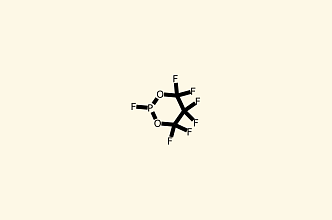 FP1OC(F)(F)C(F)(F)C(F)(F)O1